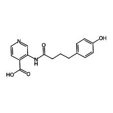 O=C(CCCc1ccc(O)cc1)Nc1cnccc1C(=O)O